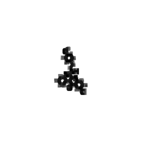 COc1ccc(CCNc2nc3ccccc3c3c(=O)c4cc(Cl)ccc4sc23)cc1